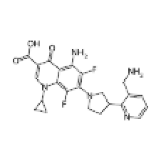 NCc1cccnc1C1CCN(c2c(F)c(N)c3c(=O)c(C(=O)O)cn(C4CC4)c3c2F)C1